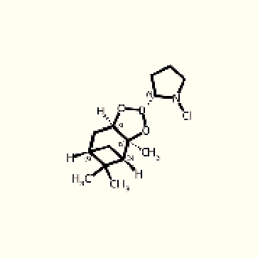 CC1(C)[C@@H]2C[C@H]3OB([C@@H]4CCCN4Cl)O[C@@]3(C)[C@H]1C2